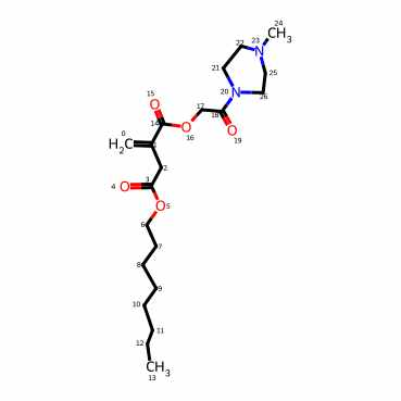 C=C(CC(=O)OCCCCCCCC)C(=O)OCC(=O)N1CCN(C)CC1